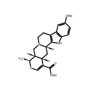 COC(=O)C1=CO[C@@H](C)[C@@H]2CN3CCc4c([nH]c5ccc(OC)cc45)[C@@H]3C[C@H]12